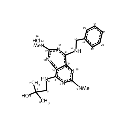 CNc1nc(NCC(C)(C)O)c2nc(NC)nc(NCc3ccccc3)c2n1.Cl